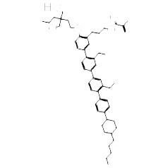 C=C(C)C(=O)OCCCc1cc(-c2ccc(-c3ccc(-c4ccc(C5CCC(CCCCC)CC5)cc4)c(CC)c3)cc2CC)ccc1OCCC(CO)(CO)CCC